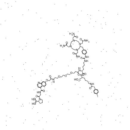 NC(=O)CN1CCN(CC(N)=O)CCN(CC(N)=O)C(Cc2ccc(NC(=S)NCCCC[C@H](NC(=O)CCOCCOCCOCCNC(=O)COc3ccc4c(C(=O)NCC(=O)N5CCC[C@H]5B(O)O)ccnc4c3)C(=O)N[C@@H](CCCCNC(=O)Cc3ccc(I)cc3)C(=O)O)cc2)CN(CC(N)=O)CC1